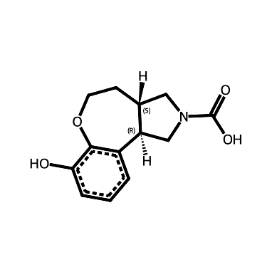 O=C(O)N1C[C@H]2CCOc3c(O)cccc3[C@@H]2C1